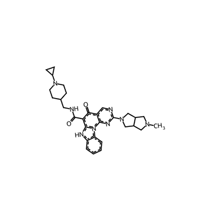 CN1CC2CN(c3ncc4c(=O)c(C(=O)NCC5CCN(C6CC6)CC5)c5[nH]c6ccccc6n5c4n3)CC2C1